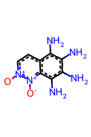 Nc1c(N)c(N)c2c(cc[n+]([O-])[n+]2[O-])c1N